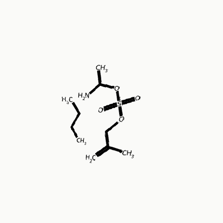 C=C(C)COS(=O)(=O)OC(C)N.CCCC